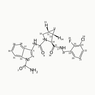 NC(=O)n1cc(NC(=O)N2C[C@@H]3C[C@@H]3[C@H]2C(=O)NCc2cccc(Cl)c2F)c2ccccc21